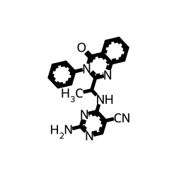 CC(Nc1nc(N)ncc1C#N)c1nc2ccccc2c(=O)n1-c1ccccc1